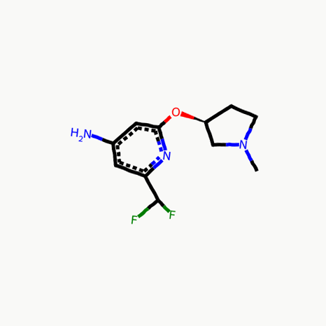 CN1CC[C@H](Oc2cc(N)cc(C(F)F)n2)C1